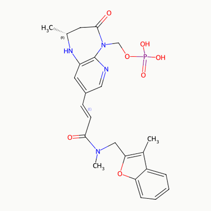 Cc1c(CN(C)C(=O)/C=C/c2cnc3c(c2)N[C@H](C)CC(=O)N3COP(=O)(O)O)oc2ccccc12